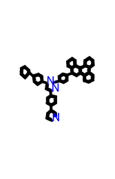 c1ccc(-c2ccc(-c3cc(-c4ccc(-c5cccnc5)cc4)nc(-c4ccc(-c5cc6c7ccccc7c7ccccc7c6c6ccccc56)cc4)n3)cc2)cc1